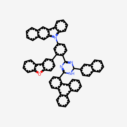 c1ccc2cc(C3N=C(c4ccc(-n5c6ccccc6c6cc7ccccc7cc65)cc4-c4ccc5oc6ccccc6c5c4)N=C(c4cccc5c6ccccc6c6ccccc6c45)N3)ccc2c1